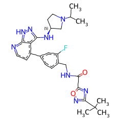 CC(C)N1CC[C@H](Nc2n[nH]c3nccc(-c4ccc(CNC(=O)c5nc(C(C)(C)C)no5)c(F)c4)c23)C1